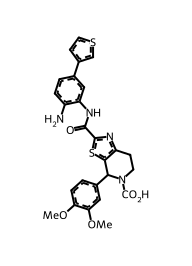 COc1ccc(C2c3sc(C(=O)Nc4cc(-c5ccsc5)ccc4N)nc3CCN2C(=O)O)cc1OC